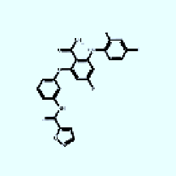 NC(=O)c1c(Nc2ccc(I)cc2F)cc(F)cc1Oc1cccc(NC(=O)c2ccno2)c1